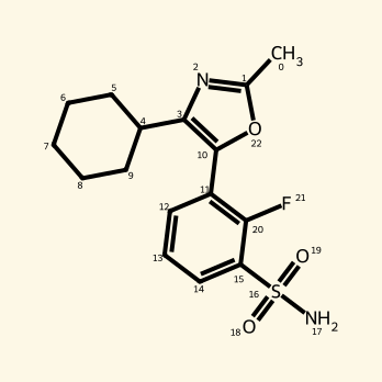 Cc1nc(C2CCCCC2)c(-c2cccc(S(N)(=O)=O)c2F)o1